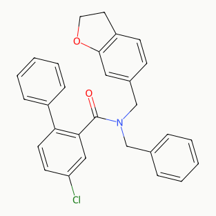 O=C(c1cc(Cl)ccc1-c1ccccc1)N(Cc1ccccc1)Cc1ccc2c(c1)OCC2